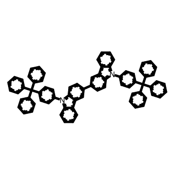 c1ccc(C(c2ccccc2)(c2ccccc2)c2ccc(-n3c4ccccc4c4cc(-c5ccc6c(c5)c5ccccc5n6-c5ccc(C(c6ccccc6)(c6ccccc6)c6ccccc6)cc5)ccc43)cc2)cc1